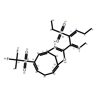 CC/C=C(\C(=N/C)C1=N/C2=C/C(S(=O)(=O)C(C)(F)F)=C\C/C=C(\C2)O1)S(=O)(=O)CC